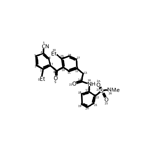 CCc1ccc(C#N)cc1C(=O)c1cc(CC(=O)Nc2ccccc2S(=O)(=O)NC)ccc1CC